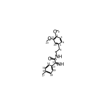 COc1ccc(CCNC(=O)C(=N)c2ccc(C)cc2)cc1OC